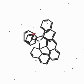 C1=Cc2ccccc2C(c2c(P(c3ccccc3)c3ccccc3)ccc3ccccc23)(P(c2ccccc2)c2ccccc2)C1